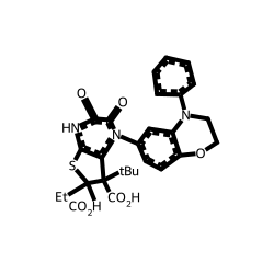 CCC1(C(=O)O)Sc2[nH]c(=O)c(=O)n(-c3ccc4c(c3)N(c3ccccc3)CCO4)c2C1(C(=O)O)C(C)(C)C